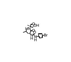 CC(C)C[C@H](NC(=O)Nc1ccc(Br)cc1)C(=O)N[C@](C)(C=O)CO